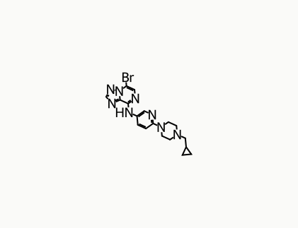 Brc1cnc(Nc2ccc(N3CCN(CC4CC4)CC3)nc2)c2ncnn12